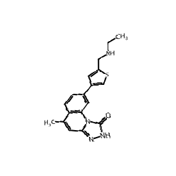 CCNCc1cc(-c2ccc3c(C)cc4n[nH]c(=O)n4c3c2)cs1